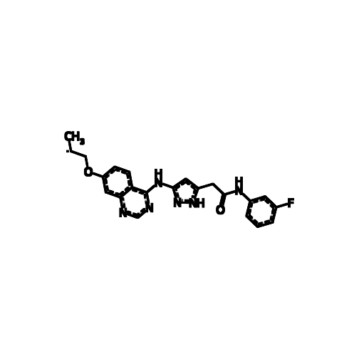 C[CH]COc1ccc2c(Nc3cc(CC(=O)Nc4cccc(F)c4)[nH]n3)ncnc2c1